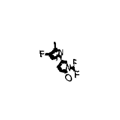 O=c1ccc(-n2cc(F)c(I)n2)cn1C(F)F